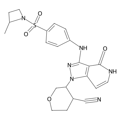 CC1CCN1S(=O)(=O)c1ccc(Nc2nn(C3COCCC3C#N)c3cc[nH]c(=O)c23)cc1